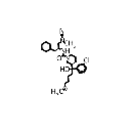 COCCCC[C@@](O)(c1cccc(Cl)c1)[C@@H]1CCCN(C(=O)N[C@@H](CC2CCCCC2)CN(C)C#N)C1